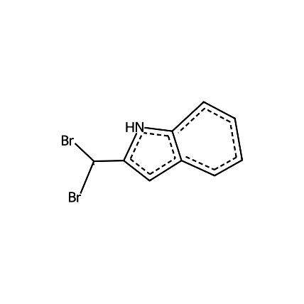 Br[C](Br)c1cc2ccccc2[nH]1